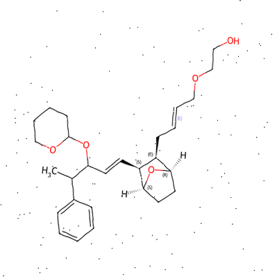 CC(c1ccccc1)C(C=C[C@H]1[C@@H](C/C=C/COCCO)[C@H]2CC[C@@H]1O2)OC1CCCCO1